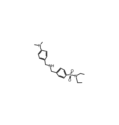 CCN(CC)S(=O)(=O)c1ccc(CNCc2ccc(N(C)C)cc2)cc1